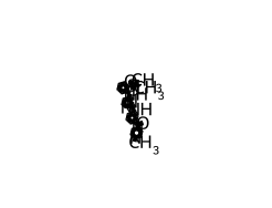 CC(C)S(=O)(=O)c1ccccc1Nc1ccnc(Nc2cccc(C(=O)N3CCN(C)CC3)c2)n1